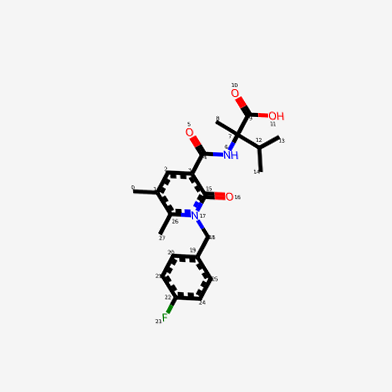 Cc1cc(C(=O)NC(C)(C(=O)O)C(C)C)c(=O)n(Cc2ccc(F)cc2)c1C